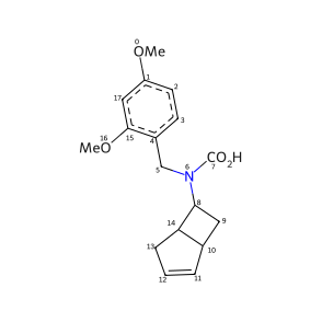 COc1ccc(CN(C(=O)O)C2CC3C=CCC32)c(OC)c1